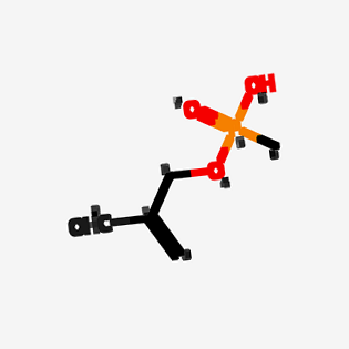 C=C(C=O)COP(C)(=O)O